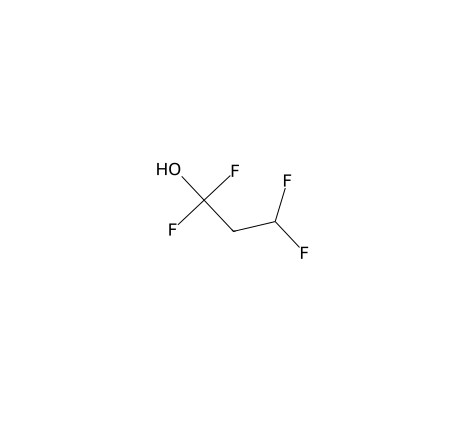 OC(F)(F)CC(F)F